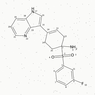 NC1(S(=O)(=O)c2cccc(F)c2)CC=C(c2c[nH]c3cccnc23)CC1